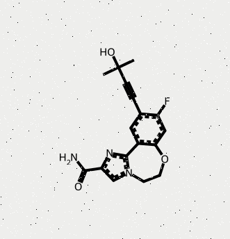 CC(C)(O)C#Cc1cc2c(cc1F)OCCn1cc(C(N)=O)nc1-2